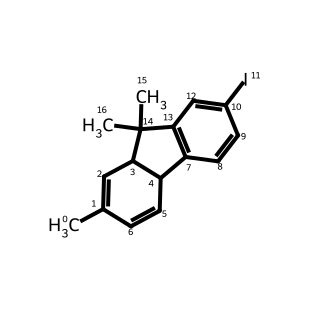 CC1=CC2C(C=C1)c1ccc(I)cc1C2(C)C